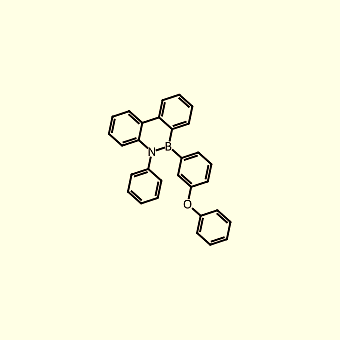 c1ccc(Oc2cccc(B3c4ccccc4-c4ccccc4N3c3ccccc3)c2)cc1